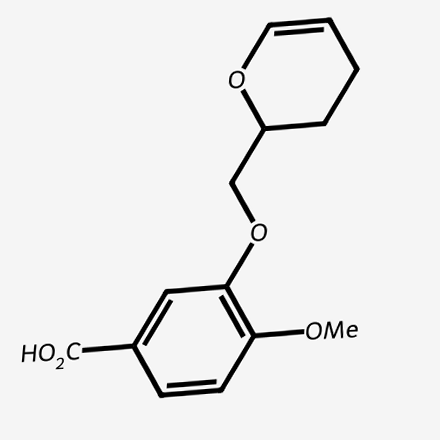 COc1ccc(C(=O)O)cc1OCC1CCC=CO1